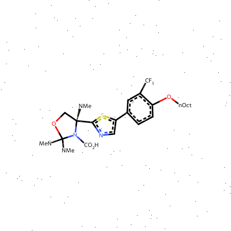 CCCCCCCCOc1ccc(-c2cnc([C@@]3(NC)COC(NC)(NC)N3C(=O)O)s2)cc1C(F)(F)F